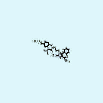 CCCCc1nc2c(N)nc3ccccc3c2n1CCCN(Cc1ccc(CC(=O)O)cc1)C(=O)CN(C)C